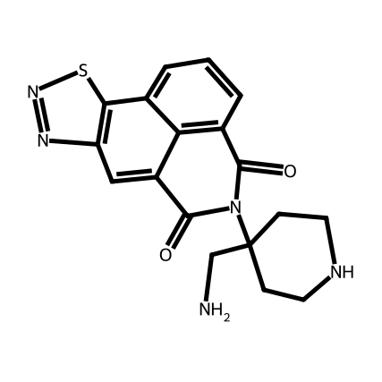 NCC1(N2C(=O)c3cccc4c3c(cc3nnsc34)C2=O)CCNCC1